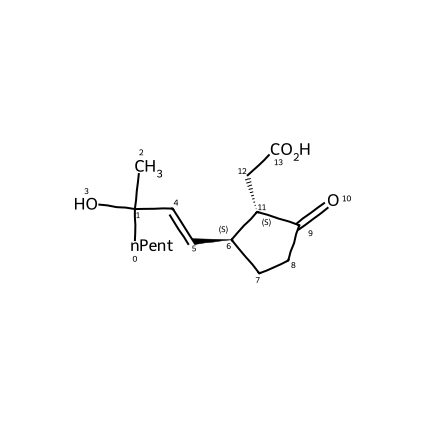 CCCCCC(C)(O)C=C[C@@H]1CCC(=O)[C@H]1CC(=O)O